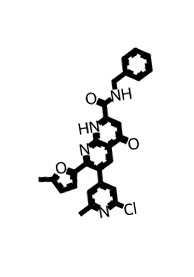 Cc1cc(-c2cc3c(=O)cc(C(=O)NCc4ccccc4)[nH]c3nc2-c2ccc(C)o2)cc(Cl)n1